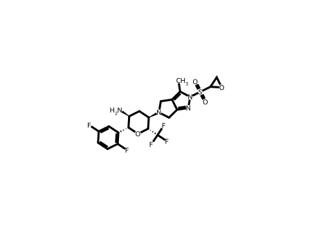 Cc1c2c(nn1S(=O)(=O)C1CO1)CN([C@@H]1C[C@H](N)[C@@H](c3cc(F)ccc3F)O[C@H]1C(F)(F)F)C2